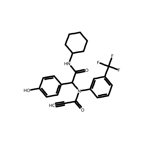 C#CC(=O)N(c1cccc(C(F)(F)F)c1)C(C(=O)NC1CCCCC1)c1ccc(O)cc1